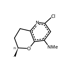 [CH2][C@H]1CCc2nc(Cl)cc(NC)c2O1